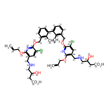 C=CCOc1nc(OCc2cccc(-c3cccc(COc4nc(OCC=C)c(CNCC(O)CC(=O)O)cc4Br)c3C)c2C)c(Br)cc1CNCC(O)CC(=O)O